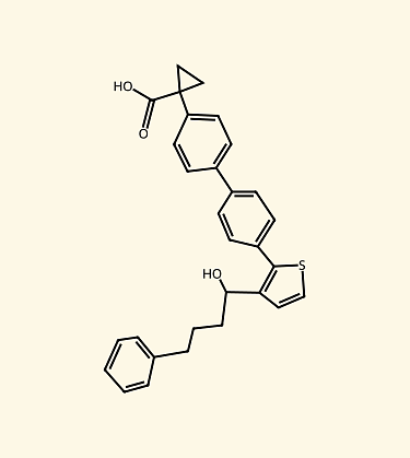 O=C(O)C1(c2ccc(-c3ccc(-c4sccc4C(O)CCCc4ccccc4)cc3)cc2)CC1